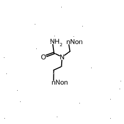 CCCCCCCCCCCN(CCCCCCCCCC)C(N)=O